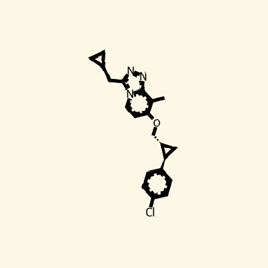 Cc1c(OC[C@@H]2C[C@H]2c2ccc(Cl)cc2)ccn2c(CC3CC3)nnc12